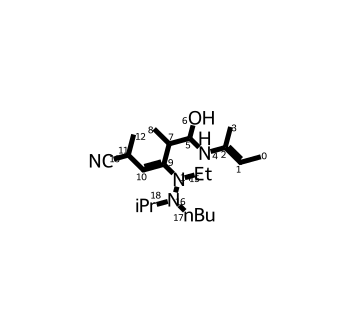 C/C=C(\C)NC(O)C(C)/C(=C\C(C)C#N)N(CC)N(CCCC)C(C)C